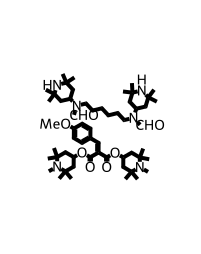 CC1(C)CC(N(C=O)CCCCCCN(C=O)C2CC(C)(C)NC(C)(C)C2)CC(C)(C)N1.COc1ccc(C=C(C(=O)OC2CC(C)(C)N(C)C(C)(C)C2)C(=O)OC2CC(C)(C)N(C)C(C)(C)C2)cc1